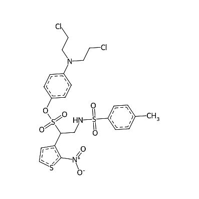 Cc1ccc(S(=O)(=O)NCC(c2ccsc2[N+](=O)[O-])S(=O)(=O)Oc2ccc(N(CCCl)CCCl)cc2)cc1